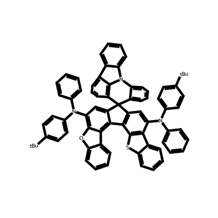 CC(C)(C)c1ccc(N(c2ccccc2)c2cc3c(c4c2oc2ccccc24)-c2c(cc(N(c4ccccc4)c4ccc(C(C)(C)C)cc4)c4c2sc2ccccc24)C32c3ccccc3-n3c4ccccc4c4cccc2c43)cc1